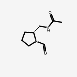 CC(=O)NC[C@H]1CCCN1C=O